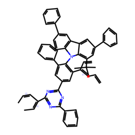 C=C/C=C(\C=C)c1cc(-c2nc(C(/C=C\C)=C/C)nc(-c3ccccc3)n2)cc(-c2ccccc2)c1-n1c2ccc(-c3ccccc3)cc2c2cc(-c3ccccc3)cc(C(C)(C)C)c21